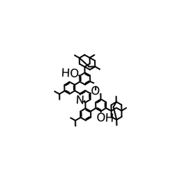 COc1cc(-c2cc(C(C)C)ccc2-c2cc(C)cc(C34CC5(C)CC(C)(CC(C)(C5)C3)C4)c2O)nc(-c2cc(C(C)C)ccc2-c2cc(C)cc(C34CC5(C)CC(C)(CC(C)(C5)C3)C4)c2O)c1